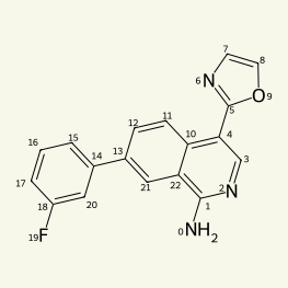 Nc1ncc(-c2ncco2)c2ccc(-c3cccc(F)c3)cc12